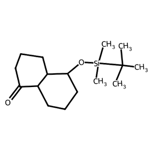 CC(C)(C)[Si](C)(C)OC1CCCC2C(=O)CCCC12